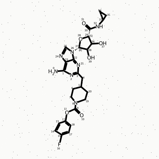 Nc1nc(CC2CCN(C(=O)Oc3ccc(F)cc3)CC2)nc2c1ncn2[C@@H]1O[C@H](C(=O)NC2CC2)C(O)C1O